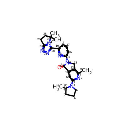 [CH2]c1nc(N2CCC[C@H]2C)cc2c1CN(c1cccc(-c3nnc4n3C(C)(C)CC4)n1)C2=O